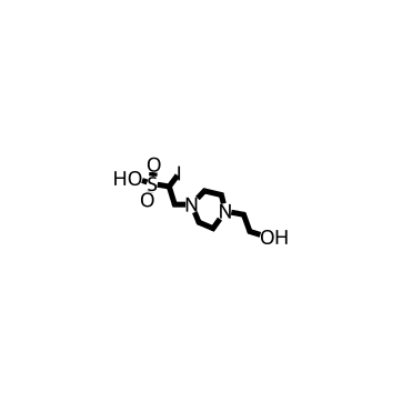 O=S(=O)(O)C(I)CN1CCN(CCO)CC1